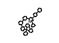 c1ccc(-c2ccc(-c3cc(-c4cccc(-c5cccc(-c6cccc(C7(c8ccccc8)c8ccccc8-c8ccccc87)c6)c5)c4)nc(-c4ccccc4)n3)cc2)cc1